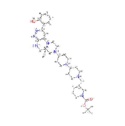 CC(C)(C)OC(=O)N1CCC[C@H](CN2CCC(N3CCC(N4CCN5c6cc(-c7ccccc7O)nnc6NC[C@H]5C4)CC3)CC2)C1